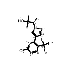 C[C@@H](n1cc(-c2nc(Cl)ncc2C(F)(F)F)cn1)C(C)(C)O